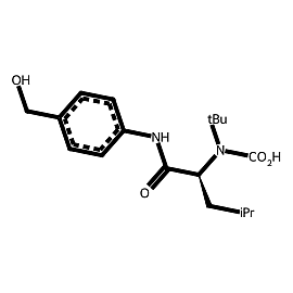 CC(C)C[C@@H](C(=O)Nc1ccc(CO)cc1)N(C(=O)O)C(C)(C)C